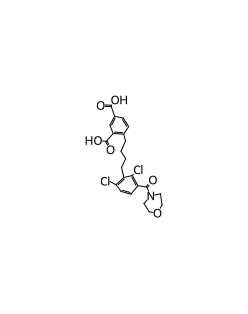 O=C(O)c1ccc(CCCCc2c(Cl)ccc(C(=O)N3CCOCC3)c2Cl)c(C(=O)O)c1